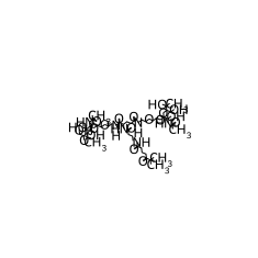 COC(CO)C(O)C(O)C(NC(C)=O)OCCOCCNC(=O)C(CCC(=O)NCCOCCOC(OC(CO)C(C)O)C(O)NC(C)=O)NC(=O)CCCNC(=O)CCCC(=O)C(C)C